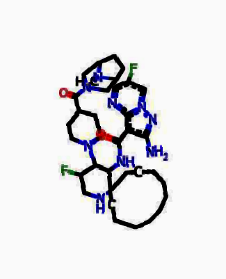 CN1C2CCC1CN(C(=O)C1CCN(C3C(F)CNC4(CCCCCCCCCC4)C3NC(=O)c3c(N)nn4cc(F)cnc34)CC1)C2